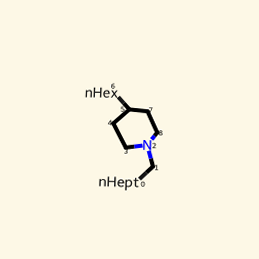 CCCCCCCCN1CCC(CCCCCC)CC1